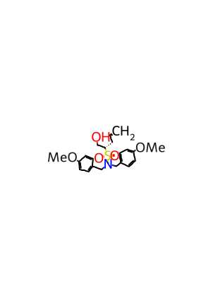 C=CC[C@@H](CO)S(=O)(=O)N(Cc1ccc(OC)cc1)Cc1ccc(OC)cc1